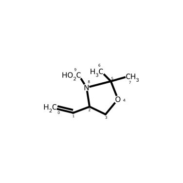 C=CC1COC(C)(C)N1C(=O)O